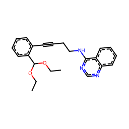 CCOC(OCC)c1ccccc1C#CCCNc1ncnc2ccccc12